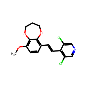 COc1ccc(C=Cc2c(Cl)cncc2Cl)c2c1OCCCO2